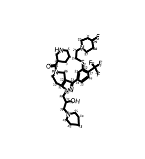 O=C(C1CCCNC1)N1CCc2c(c(-c3ccc(C(F)(F)F)c(SCCN4CCC(F)CC4)c3)nn2CC(O)CN2CCCCC2)C1